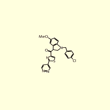 COc1ccc2c(c1)C(C(=O)c1csc(-c3ccnnc3)n1)CN2Cc1ccc(Cl)cc1